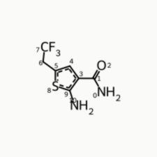 NC(=O)c1cc(CC(F)(F)F)sc1N